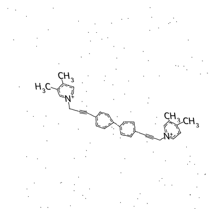 Cc1cc[n+](CC#Cc2ccc(-c3ccc(C#CC[n+]4ccc(C)c(C)c4)cc3)cc2)cc1C